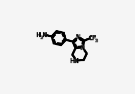 Nc1ccc(-c2nc(C(F)(F)F)n3c2CNCC3)cc1